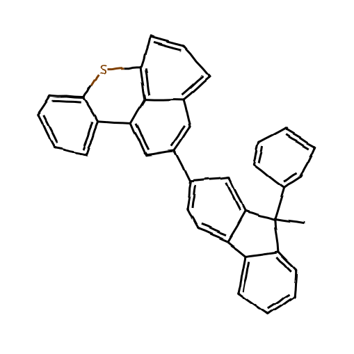 CC1(c2ccccc2)c2ccccc2-c2ccc(-c3cc4c5c(cccc5c3)Sc3ccccc3-4)cc21